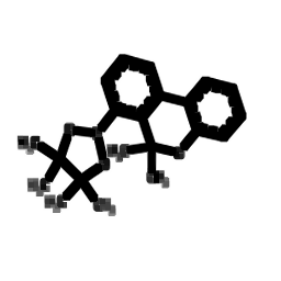 CC1(C)Oc2ccccc2-c2cccc(B3OC(C)(C)C(C)(C)O3)c21